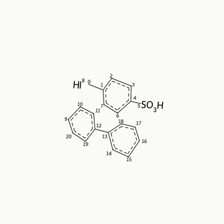 Cc1ccc(S(=O)(=O)O)cc1.I.c1ccc(-c2ccccc2)cc1